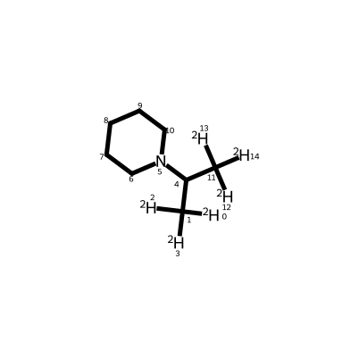 [2H]C([2H])([2H])C(N1CCCCC1)C([2H])([2H])[2H]